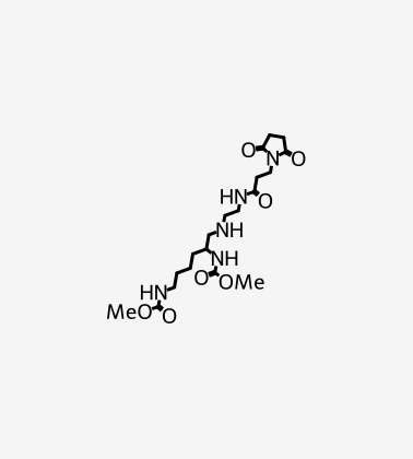 COC(=O)NCCCCC(CNCCNC(=O)CCN1C(=O)CCC1=O)NC(=O)OC